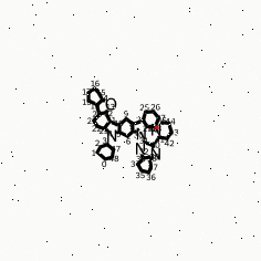 c1ccc(-n2c3cc4c(cc3c3c5oc6ccccc6c5ccc32)c2ccccc2n4-c2nc3ccccc3nc2-c2ccccn2)cc1